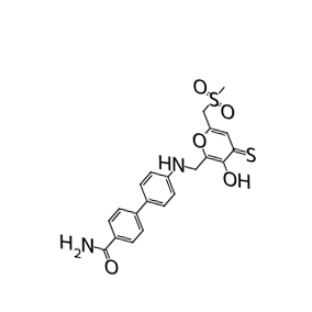 CS(=O)(=O)Cc1cc(=S)c(O)c(CNc2ccc(-c3ccc(C(N)=O)cc3)cc2)o1